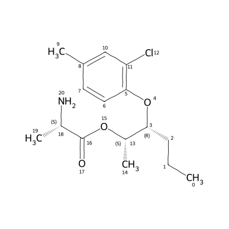 CCC[C@@H](Oc1ccc(C)cc1Cl)[C@H](C)OC(=O)[C@H](C)N